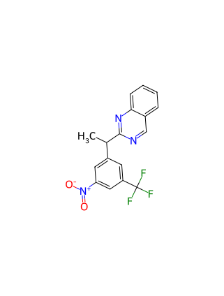 CC(c1cc([N+](=O)[O-])cc(C(F)(F)F)c1)c1ncc2ccccc2n1